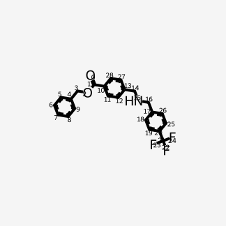 O=C(OCc1ccccc1)c1ccc(CNCc2ccc(C(F)(F)F)cc2)cc1